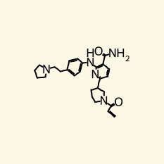 C=CC(=O)N1CCCC(c2ccc(C(N)=O)c(Nc3ccc(CCN4CCCC4)cc3)n2)C1